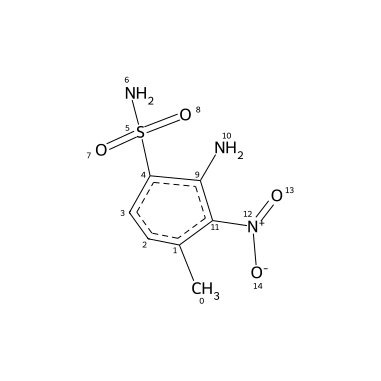 Cc1ccc(S(N)(=O)=O)c(N)c1[N+](=O)[O-]